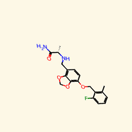 Cc1cccc(F)c1COc1ccc(CN[C@@H](C)C(N)=O)c2c1OCO2